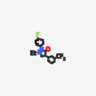 CCn1cc(-c2cccc(C(F)(F)F)c2)c(=O)n1-c1ccc(F)cc1